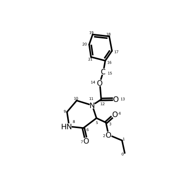 CCOC(=O)C1C(=O)NCCN1C(=O)OCc1ccccc1